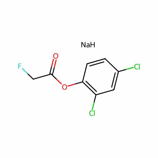 O=C(CF)Oc1ccc(Cl)cc1Cl.[NaH]